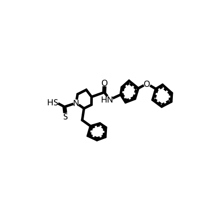 O=C(Nc1ccc(Oc2ccccc2)cc1)C1CCN(C(=S)S)C(Cc2ccccc2)C1